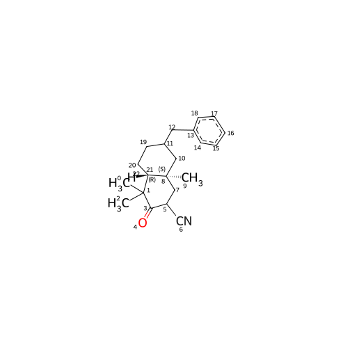 CC1(C)C(=O)C(C#N)C[C@]2(C)CC(Cc3ccccc3)CC[C@@H]12